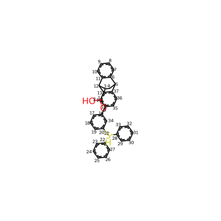 O=C(O)C1CC2c3ccccc3C1c1cc(-c3cccc([SH](c4ccccc4)c4ccccc4)c3)ccc12